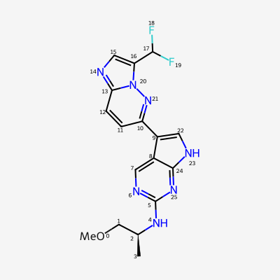 COC[C@H](C)Nc1ncc2c(-c3ccc4ncc(C(F)F)n4n3)c[nH]c2n1